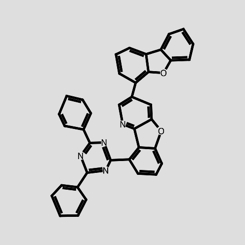 c1ccc(-c2nc(-c3ccccc3)nc(-c3cccc4oc5cc(-c6cccc7c6oc6ccccc67)cnc5c34)n2)cc1